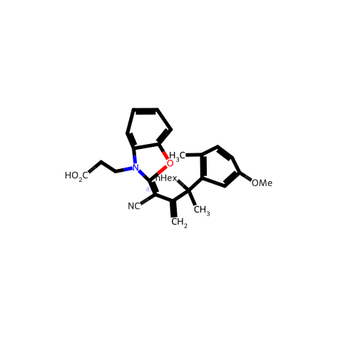 C=C(/C(C#N)=C1\Oc2ccccc2N1CCC(=O)O)C(C)(CCCCCC)c1cc(OC)ccc1C